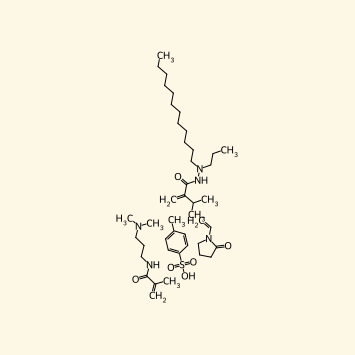 C=C(C(=O)NN(CCC)CCCCCCCCCCCC)C(C)C.C=C(C)C(=O)NCCCN(C)C.C=CN1CCCC1=O.Cc1ccc(S(=O)(=O)O)cc1